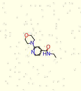 CCNC(=O)c1ccnc(N2CCOCC2)c1